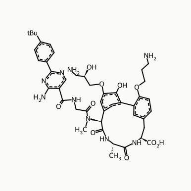 C[C@@H]1NC(=O)[C@@H](N(C)C(=O)CNC(=O)c2cnc(-c3ccc(C(C)(C)C)cc3)nc2N)c2cc(OC[C@H](O)CN)c(O)c(c2)-c2cc(ccc2OCCCN)C[C@@H](C(=O)O)NC1=O